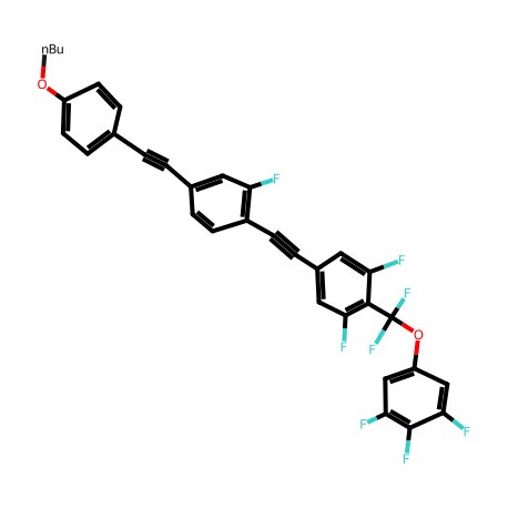 CCCCOc1ccc(C#Cc2ccc(C#Cc3cc(F)c(C(F)(F)Oc4cc(F)c(F)c(F)c4)c(F)c3)c(F)c2)cc1